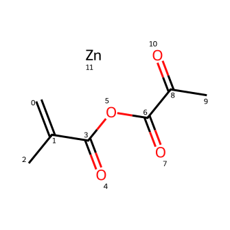 C=C(C)C(=O)OC(=O)C(C)=O.[Zn]